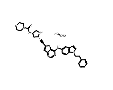 O=C(O[C@H]1CN[C@H](C#Cc2cc3ncnc(Nc4ccc5c(ccn5CCc5ccccc5)c4)c3s2)C1)N1CCOCC1.O=CO